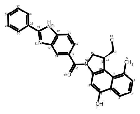 Cc1cccc2c(O)cc3c(c12)[C@H](CCl)CN3C(=O)c1ccc2[nH]c(-c3ccccc3)nc2c1